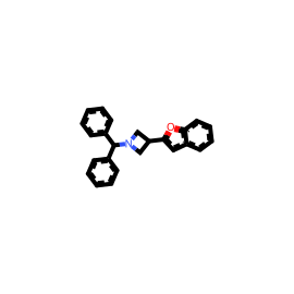 c1ccc(C(c2ccccc2)N2CC(c3cc4ccccc4o3)C2)cc1